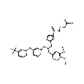 COC1=C(OC)CCC(CN(Cc2ccc(C(=O)NCCC(=O)O)s2)CC2C=C(OC3C=C(C(F)(F)F)C=CC3)C=CC2)=C1